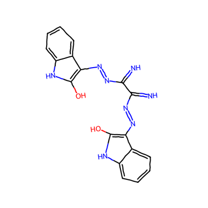 N=C(N=Nc1c(O)[nH]c2ccccc12)C(=N)N=Nc1c(O)[nH]c2ccccc12